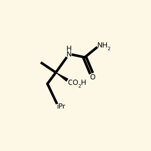 CC(C)C[C@](C)(NC(N)=O)C(=O)O